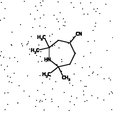 CC1(C)CCC(C#N)CC(C)(C)N1